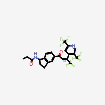 CCC(=O)NC1CCc2cc(C(=O)/C=C(\c3cc(C(F)(F)F)ncc3C(F)(F)F)C(F)(F)F)ccc21